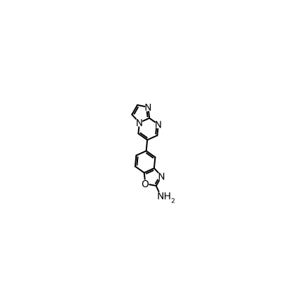 Nc1nc2cc(-c3cnc4nccn4c3)ccc2o1